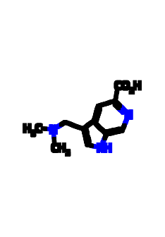 CN(C)Cc1c[nH]c2cnc(C(=O)O)cc12